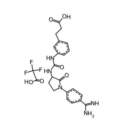 N=C(N)c1ccc(N2CCC(NC(=O)Nc3cccc(CCC(=O)O)c3)C2=O)cc1.O=C(O)C(F)(F)F